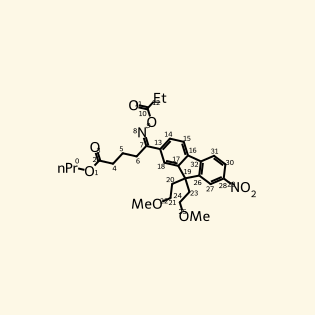 CCCOC(=O)CCC/C(=N/OC(=O)CC)c1ccc2c(c1)C(CCOC)(CCOC)c1cc([N+](=O)[O-])ccc1-2